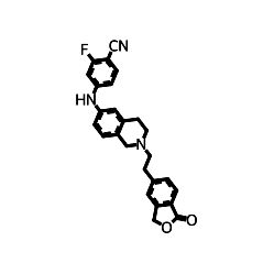 N#Cc1ccc(Nc2ccc3c(c2)CCN(CCc2ccc4c(c2)COC4=O)C3)cc1F